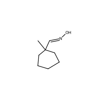 CC1(C=NO)CCCCC1